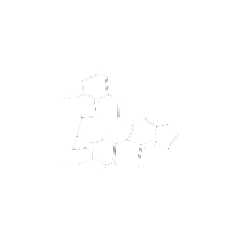 COc1cccc(C=Cc2nc3sccn3c(=O)c2-c2ccc(OC(F)(F)F)cc2)c1OCC1CC1